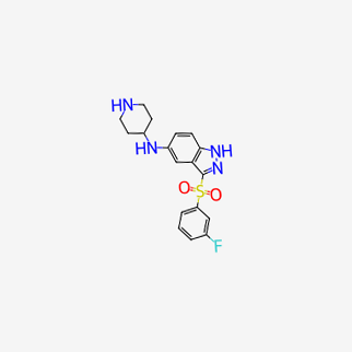 O=S(=O)(c1cccc(F)c1)c1n[nH]c2ccc(NC3CCNCC3)cc12